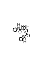 O=C(NC1CCCCC1)c1n[nH]c2c1CN(C(=O)c1cc3ccccc3[nH]1)CC2